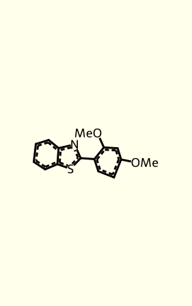 COc1ccc(-c2nc3ccccc3s2)c(OC)c1